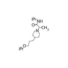 CC(C)NC(=O)C(C)N1CCC(CCCOC(C)C)CC1